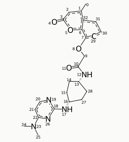 Cc1cc(=O)oc2c(OCC(=O)N[C@H]3CC[C@@H](Nc4nccc(N(C)C)n4)CC3)cccc12